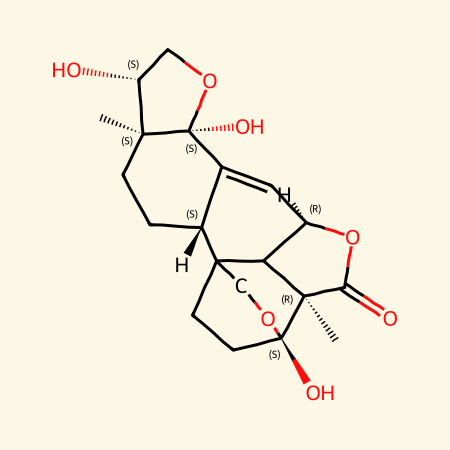 C[C@@]12CC[C@@H]3C(=C[C@H]4OC(=O)[C@]5(C)C4C34CC[C@]5(O)OC4)[C@]1(O)OC[C@H]2O